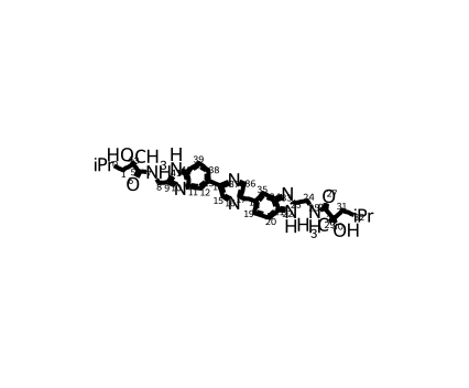 CC(C)CC(C)(O)C(=O)NCc1nc2cc(-c3cnc(-c4ccc5[nH]c(CNC(=O)C(C)(O)CC(C)C)nc5c4)cn3)ccc2[nH]1